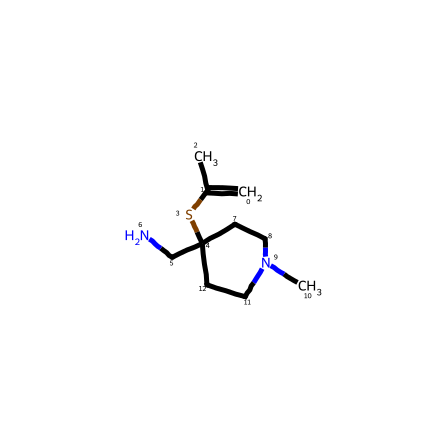 C=C(C)SC1(CN)CCN(C)CC1